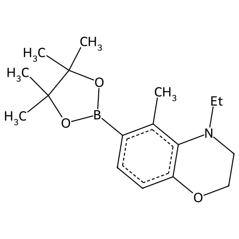 CCN1CCOc2ccc(B3OC(C)(C)C(C)(C)O3)c(C)c21